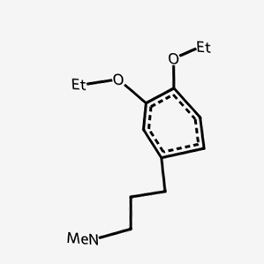 CCOc1ccc(CCCNC)cc1OCC